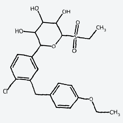 CCOc1ccc(Cc2cc(C3OC(S(=O)(=O)CC)C(O)C(O)C3O)ccc2Cl)cc1